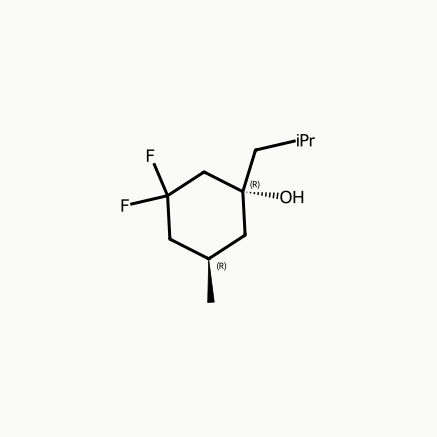 CC(C)C[C@@]1(O)C[C@@H](C)CC(F)(F)C1